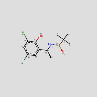 C[C@H](N[S@+]([O-])C(C)(C)C)c1cc(F)cc(Cl)c1O